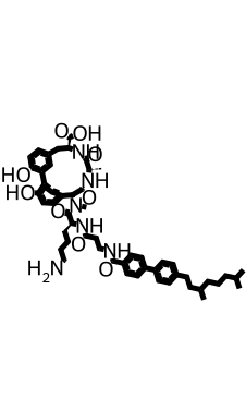 CC(C)CCCC(C)CCc1ccc(-c2ccc(C(=O)NCCC(=O)N[C@@H](CCCCN)C(=O)N(C)[C@@H]3C(=O)N[C@@H](C)C(=O)N[C@H](C(=O)O)Cc4ccc(O)c(c4)-c4cc3ccc4O)cc2)cc1